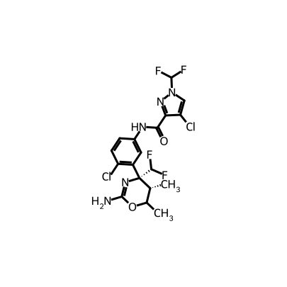 CC1OC(N)=N[C@](c2cc(NC(=O)c3nn(C(F)F)cc3Cl)ccc2Cl)(C(F)F)[C@@H]1C